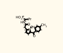 Cc1ccc(C(=O)c2ccc(CC(=O)NC(C(=O)O)C(C)C)n2C)cc1